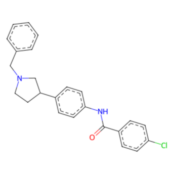 O=C(Nc1ccc(C2CCN(Cc3ccccc3)C2)cc1)c1ccc(Cl)cc1